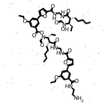 CCCCC[C@@H](C(=O)NCNC(=O)c1ccc(-c2cc(OCC)cc(C(=O)ON(C=O)[C@H](CC)[C@@H](CCCCC)C(=O)NCNC(=O)c3ccc(-c4cc(OCC)cc(C(=O)NCCN)c4)o3)c2)o1)[C@@H](CC)N(O)C=O